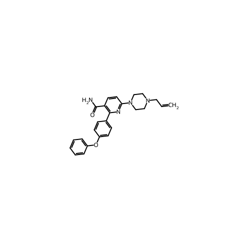 C=CCN1CCN(c2ccc(C(N)=O)c(-c3ccc(Oc4ccccc4)cc3)n2)CC1